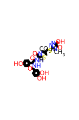 Cn1c(SCC2=C(C(=O)O)N3C(=O)C(NC(=O)C(NC(=O)c4ccc(O)c(O)c4)c4ccc(O)cc4)[C@H]3SC2)nnc(O)c1=O